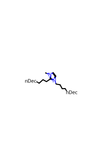 CCCCCCCCCCCCCCn1cc[n+](C)c1CCCCCCCCCCCCC